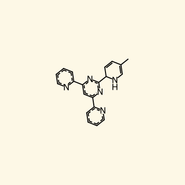 CC1=CNC(c2nc(-c3ccccn3)cc(-c3ccccn3)n2)C=C1